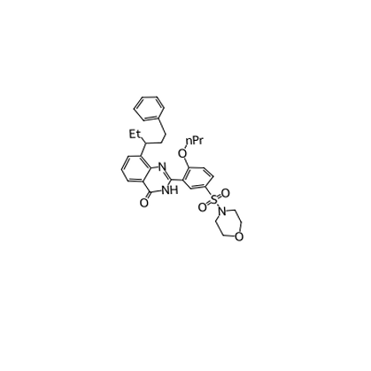 CCCOc1ccc(S(=O)(=O)N2CCOCC2)cc1-c1nc2c(C(CC)CCc3ccccc3)cccc2c(=O)[nH]1